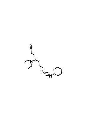 CCN(CC)C(CCC#N)CCCN=C=NC1CCCCC1